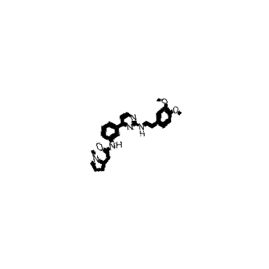 COc1ccc(CCNc2nccc(-c3cccc(NC(=O)CC4CCCN4C)c3)n2)cc1OC